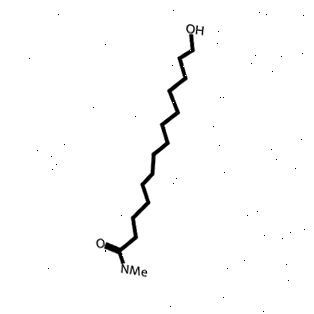 CNC(=O)CCCCCCCCCCCCCO